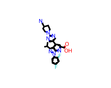 CC(C)c1nn(-c2ccc(F)cc2F)c2nc(C(=O)O)cc(-c3cnc(N4CCC(C#N)CC4)nc3)c12